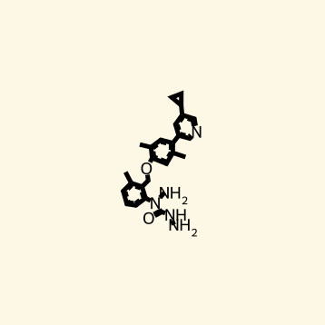 Cc1cc(-c2cncc(C3CC3)c2)c(C)cc1OCc1c(C)cccc1N(N)C(=O)NN